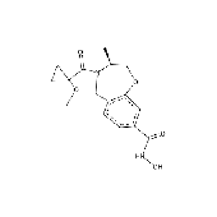 COC1(C(=O)N2Cc3ccc(C(=O)NO)cc3OC[C@@H]2C)CC1